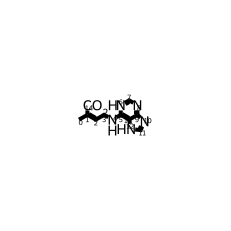 C/C(=C/CNc1ncnc2nc[nH]c12)C(=O)O